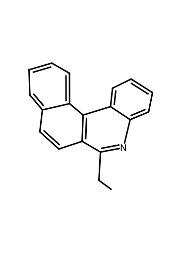 CCc1nc2ccccc2c2c1ccc1ccccc12